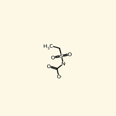 CCS(=O)(=O)[N]C([O])=O